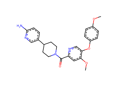 COc1ccc(Oc2cnc(C(=O)N3CCC(c4ccc(N)nc4)CC3)cc2OC)cc1